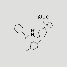 O=C(O)CC1(N2CCC(CN[C@@H]3CC3C3CCCCC3)(Cc3ccc(F)cc3)CC2)CCC1